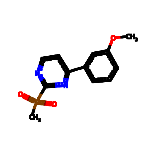 COc1cccc(-c2ccnc(S(C)(=O)=O)n2)c1